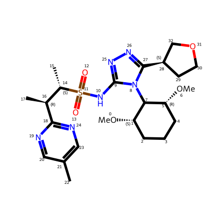 CO[C@H]1CCC[C@@H](OC)C1n1c(NS(=O)(=O)[C@@H](C)[C@H](C)c2ncc(C)cn2)nnc1[C@@H]1CCOC1